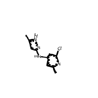 Cc1cc(Nc2cc(C)[nH]n2)cc(Cl)n1